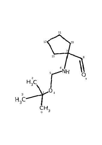 CC(C)(C)OCNC1(C=O)CCCC1